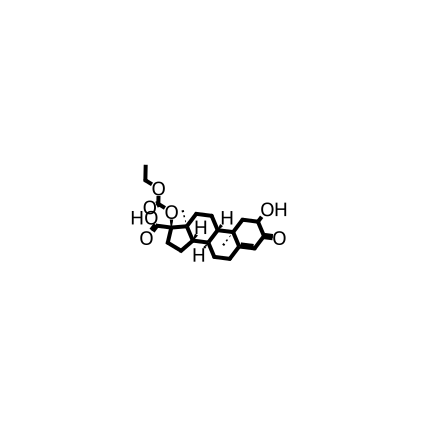 CCOC(=O)O[C@]1(C(=O)O)CC[C@H]2[C@@H]3CCC4=CC(=O)C(O)C[C@]4(C)[C@H]3CC[C@@]21C